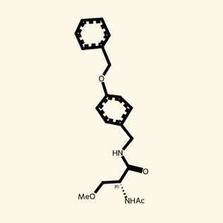 COC[C@@H](NC(C)=O)C(=O)NCc1ccc(OCc2ccccc2)cc1